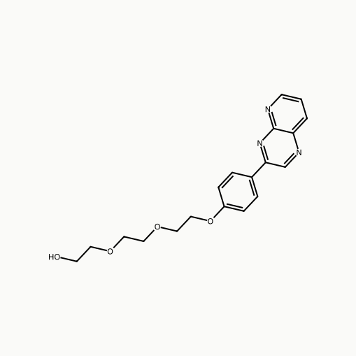 OCCOCCOCCOc1ccc(-c2cnc3cccnc3n2)cc1